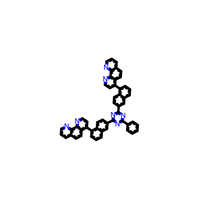 c1ccc(-c2nc(-c3ccc4c(-c5ccnc6c5ccc5cccnc56)cccc4c3)nc(-c3ccc4c(-c5ccnc6c5ccc5cccnc56)cccc4c3)n2)cc1